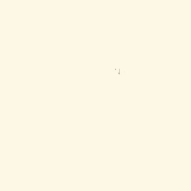 C1CCCCC1.[Na]